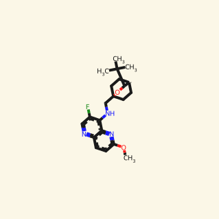 COc1ccc2ncc(F)c(NCC34CC[C](CC3)C(C(C)(C)C)O4)c2n1